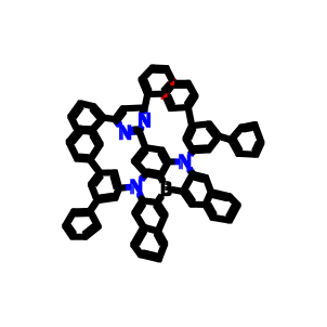 c1ccc(-c2cc(-c3ccccc3)cc(N3c4cc5ccccc5cc4B4c5cc6ccccc6cc5N(c5cc(-c6ccccc6)cc(-c6ccccc6)c5)c5cc(-c6nc(-c7ccccc7)cc(-c7ccccc7)n6)cc3c54)c2)cc1